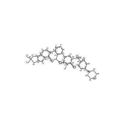 Cn1cc(-c2ccnc(-n3ccn4c5c(cc4c3=O)CC(C)(C)C5)c2CO)cc(Nc2ccc(N3CCOCC3)cn2)c1=O